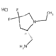 CCN1CC(F)(F)C[C@H]1CN.Cl